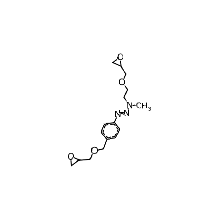 CN(CCOCC1CO1)/N=N/c1ccc(COCC2CO2)cc1